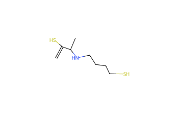 C=C(S)C(C)NCCCCS